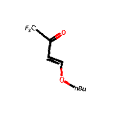 CCCCOC=CC(=O)C(F)(F)F